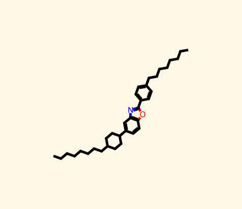 CCCCCCCCc1ccc(-c2nc3cc(C4CCC(CCCCCCCC)CC4)ccc3o2)cc1